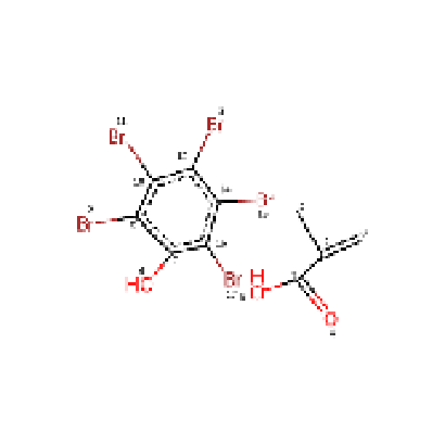 C=C(C)C(=O)O.Oc1c(Br)c(Br)c(Br)c(Br)c1Br